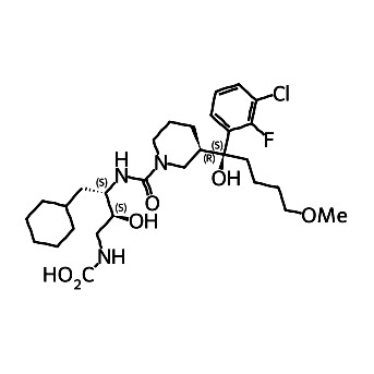 COCCCC[C@@](O)(c1cccc(Cl)c1F)[C@@H]1CCCN(C(=O)N[C@@H](CC2CCCCC2)[C@@H](O)CNC(=O)O)C1